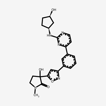 CN1CCC(O)(c2cc(-c3cccc(-c4ccnc(N[C@H]5CC[C@@H](O)C5)n4)c3)no2)C1=O